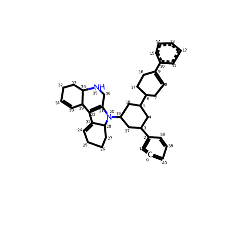 C1=C=C(C2CC(C3CC=C(c4ccccc4)CC3)CC(N3C4=C(C5=CCCCC53)C3C=CCCC3NC4)C2)C=CC=1